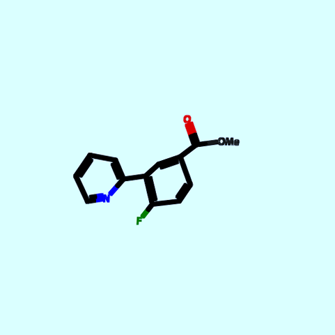 COC(=O)c1ccc(F)c(-c2ccccn2)c1